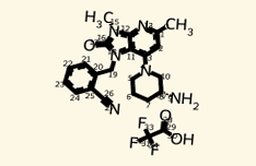 Cc1cc(N2CCC[C@@H](N)C2)c2c(n1)n(C)c(=O)n2Cc1ccccc1C#N.O=C(O)C(F)(F)F